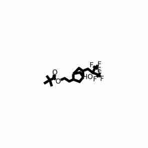 CC(C)(C)C(=O)OCCC1CC2CC1CC2CC(O)(C(F)(F)F)C(F)(F)F